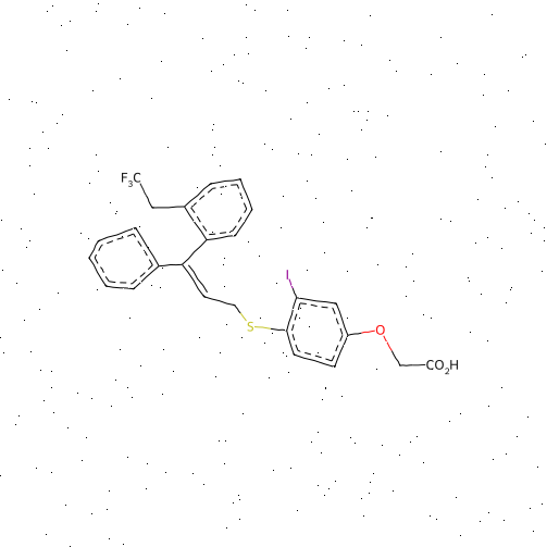 O=C(O)COc1ccc(SCC=C(c2ccccc2)c2ccccc2CC(F)(F)F)c(I)c1